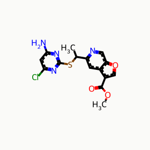 COC(=O)c1coc2cnc(C(C)Sc3nc(N)cc(Cl)n3)cc12